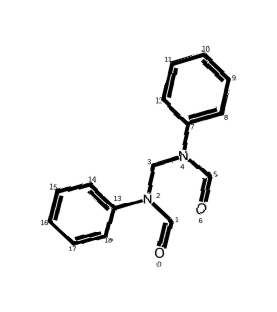 O=[C]N(CN([C]=O)c1ccccc1)c1ccccc1